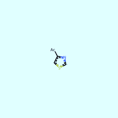 CC(=O)c1cs[c]n1